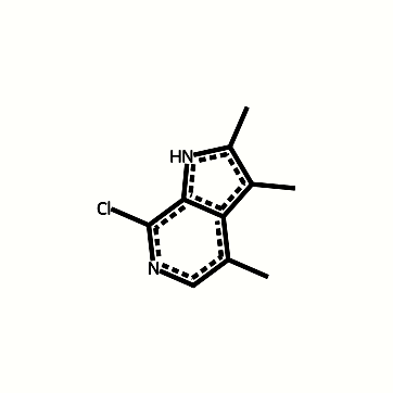 Cc1[nH]c2c(Cl)ncc(C)c2c1C